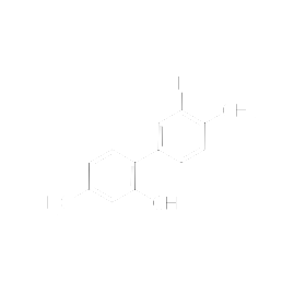 Cc1ccc(-c2ccc(C)c(F)c2)c(C)c1